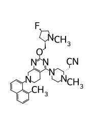 Cc1cccc2cccc(N3CCc4c(nc(OC[C@H]5C[C@@H](F)CN5C)nc4N4CCN(C)[C@@H](CC#N)C4)C3)c12